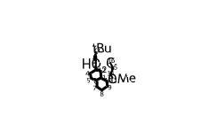 CC(C)(C)C#Cc1ccc2ccccc2c1.COC=CC(=O)O